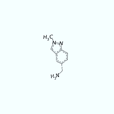 Cn1cc2cc(CN)ccc2n1